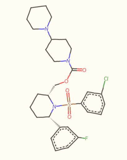 O=C(OC[C@H]1CCC[C@@H](c2cccc(F)c2)N1S(=O)(=O)c1cccc(Cl)c1)N1CCC(N2CCCCC2)CC1